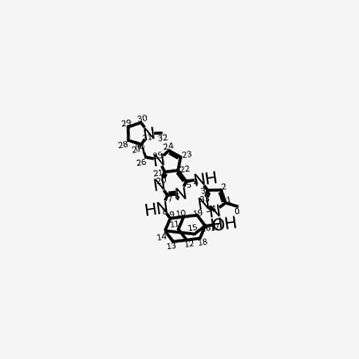 Cc1cc(Nc2nc(NC3C4CC5CC3CC(O)(C5)C4)nc3c2ccn3C[C@H]2CCCN2C)n[nH]1